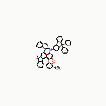 CC(C)(C)c1cccc2c1oc1cc(N(c3ccc4c(c3)-c3ccccc3C4(c3ccccc3)c3ccccc3)c3ccc4ccccc4c3-c3ccc4c(c3)C(C)(C)c3ccccc3-4)ccc12